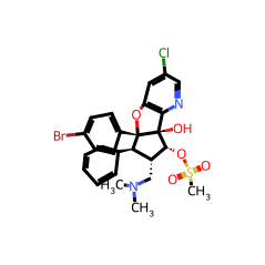 CN(C)C[C@H]1[C@@H](OS(C)(=O)=O)[C@@]2(O)c3ncc(Cl)cc3O[C@@]2(c2ccc(Br)cc2)[C@@H]1c1ccccc1